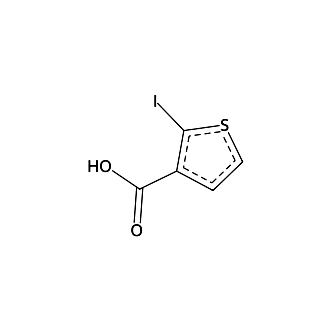 O=C(O)c1ccsc1I